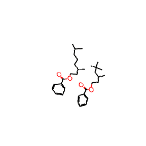 CC(C)CCCC(C)CCOC(=O)c1ccccc1.CC(CCOC(=O)c1ccccc1)CC(C)(C)C